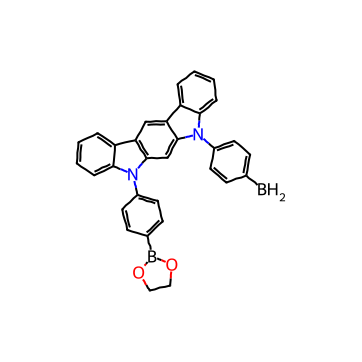 Bc1ccc(-n2c3ccccc3c3cc4c5ccccc5n(-c5ccc(B6OCCO6)cc5)c4cc32)cc1